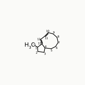 CC1CCC2CCCCCC=CC=C12